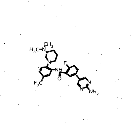 CN(C)[C@@H]1CCCN(c2ccc(C(F)(F)F)cc2NC(=O)c2cc(-c3cnc(N)nc3)ccc2F)C1